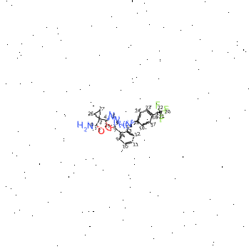 NC(=O)C1(c2nnc(-c3ccccc3Nc3ccc(C(F)(F)F)cc3)o2)CC1